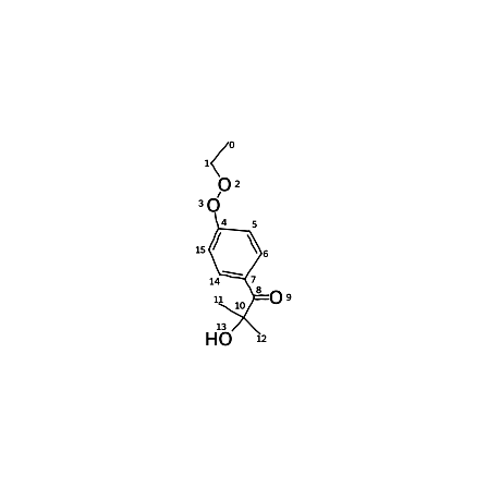 CCOOc1ccc(C(=O)C(C)(C)O)cc1